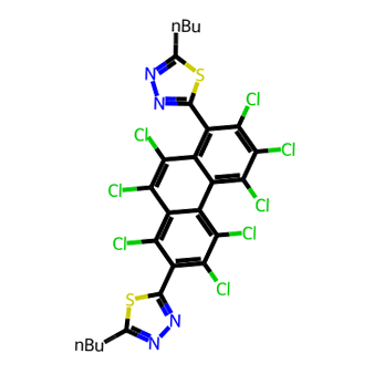 CCCCc1nnc(-c2c(Cl)c(Cl)c3c(c2Cl)c(Cl)c(Cl)c2c(-c4nnc(CCCC)s4)c(Cl)c(Cl)c(Cl)c23)s1